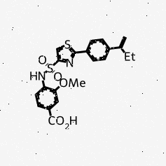 C=C(CC)c1ccc(-c2nc(S(=O)(=O)Nc3ccc(C(=O)O)cc3OC)cs2)cc1